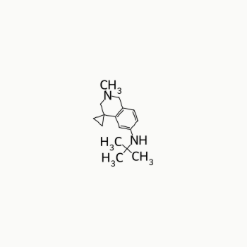 CN1Cc2ccc(NC(C)(C)C)cc2C2(CC2)C1